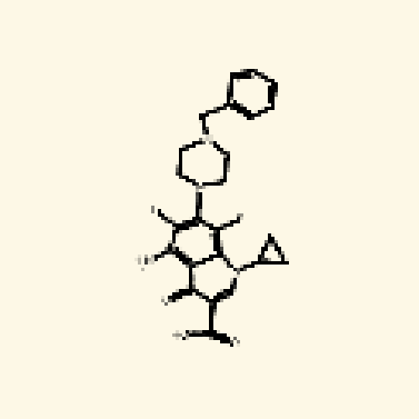 Nc1c(F)c(N2CCN(Cc3ccccc3)CC2)c(F)c2c1c(=O)c(C(=O)O)cn2C1CC1